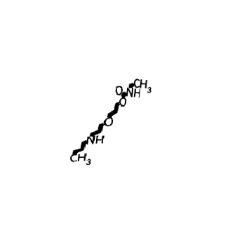 CCCCNCCCOCCCOC(=O)NCC